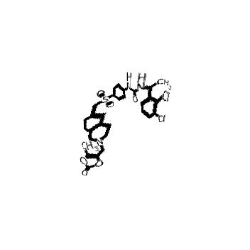 Cc1oc(=O)oc1CN1CCc2cc(CS(=O)(=O)c3ccc(NC(=O)NC(C)c4cccc(Cl)c4Cl)cc3)ccc2C1